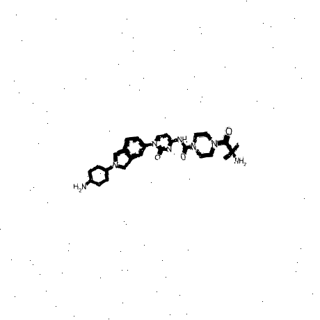 CC(C)(N)C(=O)N1CCN(C(=O)Nc2ccn(-c3ccc4c(c3)CN(C3CCC(N)CC3)C4)c(=O)n2)CC1